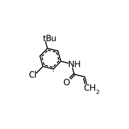 C=CC(=O)Nc1[c]c(Cl)cc(C(C)(C)C)c1